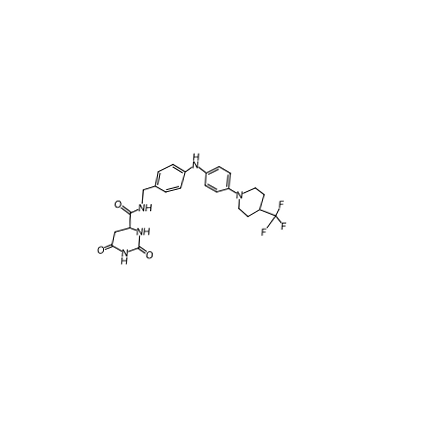 O=C1CC(C(=O)NCc2ccc(Nc3ccc(N4CCC(C(F)(F)F)CC4)cc3)cc2)NC(=O)N1